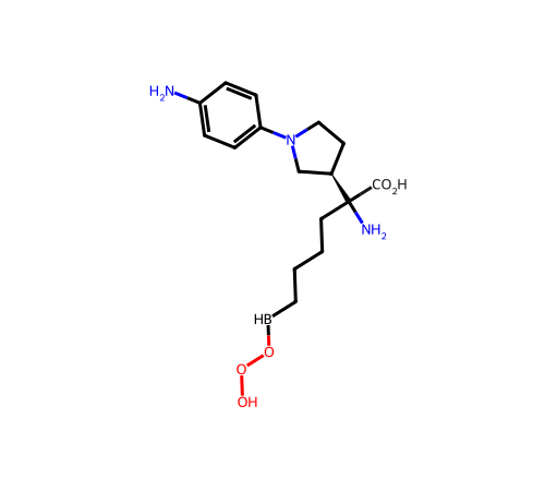 Nc1ccc(N2CC[C@@H](C(N)(CCCCBOOO)C(=O)O)C2)cc1